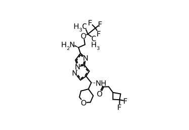 CC(C)(OC[C@H](N)c1cn2ncc([C@H](NC(=O)CC3CC(F)(F)C3)C3CCOCC3)cc2n1)C(F)(F)F